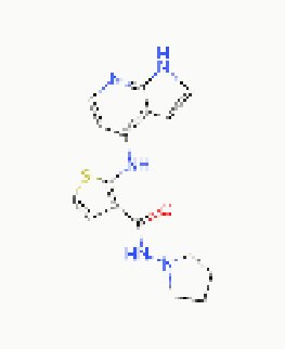 O=C(NN1CCCC1)c1ccsc1Nc1ccnc2[nH]ccc12